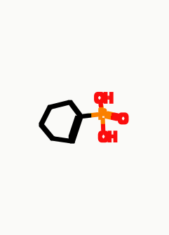 O=P(O)(O)C1=CCCCC1